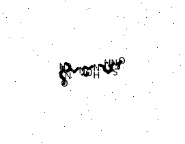 COc1ccc2nccc(CCN3CCOC(CNCc4ccc5c(n4)NC(=O)CS5)C3)c2n1